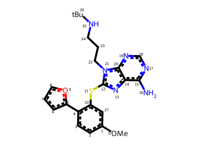 COc1ccc(-c2ccco2)c(Sc2nc3c(N)ncnc3n2CCCNC(C)(C)C)c1